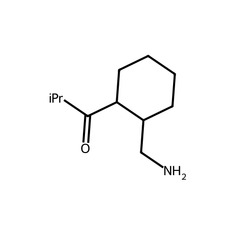 CC(C)C(=O)C1CCCCC1CN